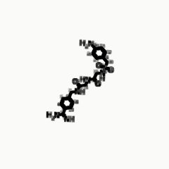 N=C(N)c1ccc(CNC(=O)CNC(=O)CNS(=O)(=O)Cc2ccc(N)cc2)cc1